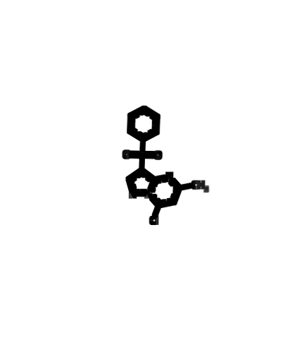 Cc1cc(Cl)n2ncc(S(=O)(=O)c3ccccc3)c2n1